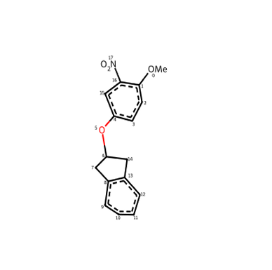 COc1ccc(OC2Cc3ccccc3C2)cc1[N+](=O)[O-]